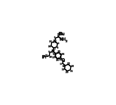 CCC(C)C(N)CN1CCC(N(CCC(C)C)c2ccc(OCC3CCCCC3)cc2)CC1